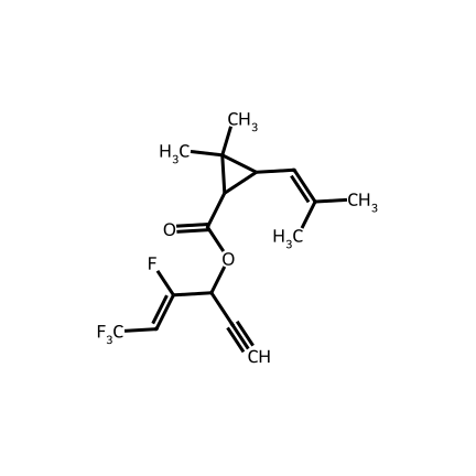 C#CC(OC(=O)C1C(C=C(C)C)C1(C)C)C(F)=CC(F)(F)F